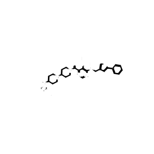 Cc1c(NCc2coc(-c3ccccc3)c2)ncnc1C(=O)N1CCC(N2CCC(N(C)S(C)(=O)=O)CC2)CC1